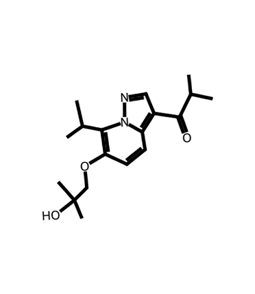 CC(C)C(=O)c1cnn2c(C(C)C)c(OCC(C)(C)O)ccc12